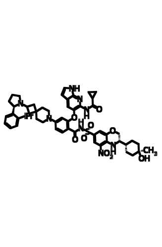 CC(C)c1ccccc1[C@H]1CCCN1C1CC2(CCN(c3ccc(C(=O)NS(=O)(=O)c4cc5c(c([N+](=O)[O-])c4)N[C@@H]([C@H]4CC[C@](C)(O)CC4)CO5)c(Oc4cc5cc[nH]c5nc4NC(=O)C4CC4)c3)CC2)C1